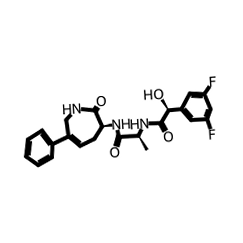 C[C@H](NC(=O)[C@@H](O)c1cc(F)cc(F)c1)C(=O)N[C@H]1CC=C(c2ccccc2)CNC1=O